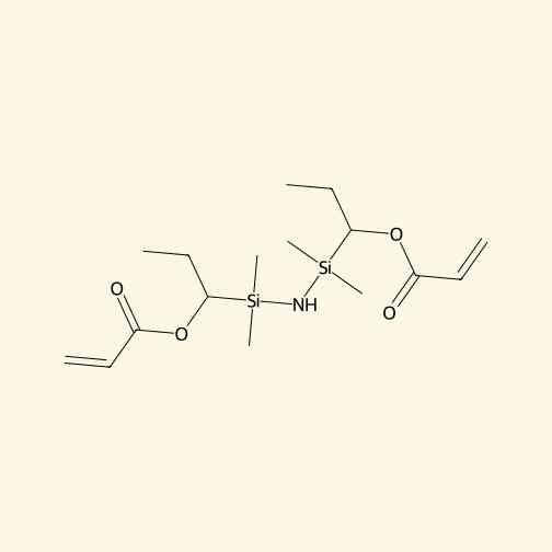 C=CC(=O)OC(CC)[Si](C)(C)N[Si](C)(C)C(CC)OC(=O)C=C